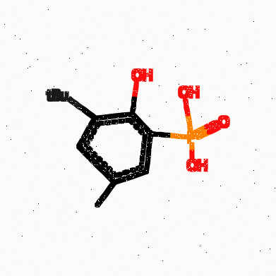 Cc1cc(C(C)(C)C)c(O)c(P(=O)(O)O)c1